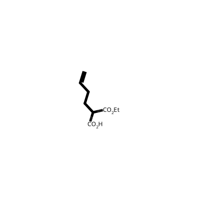 C=CCCC(C(=O)O)C(=O)OCC